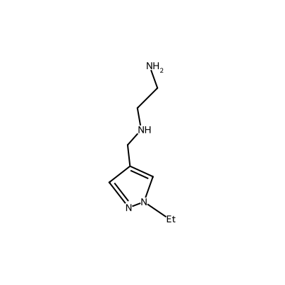 CCn1cc(CNCCN)cn1